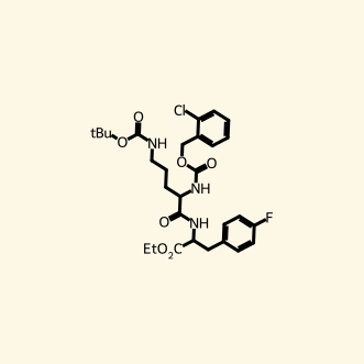 CCOC(=O)C(Cc1ccc(F)cc1)NC(=O)C(CCCNC(=O)OC(C)(C)C)NC(=O)OCc1ccccc1Cl